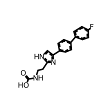 O=C(O)NCCc1nc(-c2ccc(-c3ccc(F)cc3)cc2)c[nH]1